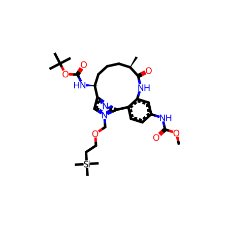 COC(=O)Nc1ccc2c(c1)NC(=O)[C@H](C)CCC[C@H](NC(=O)OC(C)(C)C)c1cn(COCC[Si](C)(C)C)c-2n1